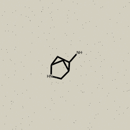 [NH]C1CC2CC1CN2